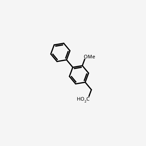 COc1cc(CC(=O)O)ccc1-c1ccccc1